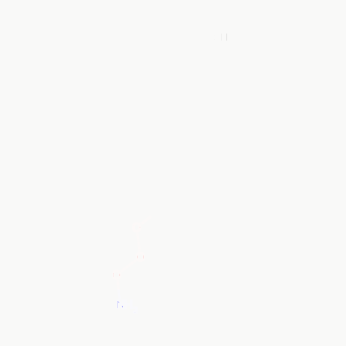 CCCCCCCCOOON